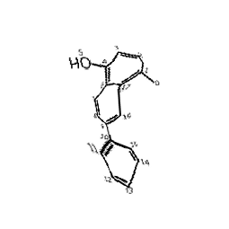 Cc1ccc(O)c2ccc(-c3ccccc3)cc12